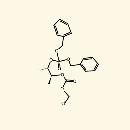 C[C@H](OC(=O)OCCl)[C@H](C)OP(=O)(OCc1ccccc1)OCc1ccccc1